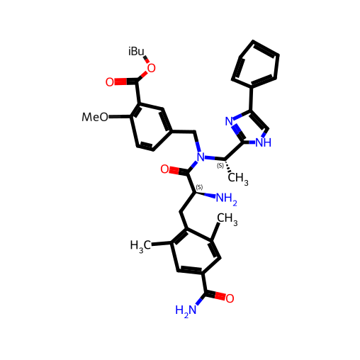 CCC(C)OC(=O)c1cc(CN(C(=O)[C@@H](N)Cc2c(C)cc(C(N)=O)cc2C)[C@@H](C)c2nc(-c3ccccc3)c[nH]2)ccc1OC